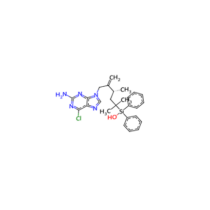 C=C(Cn1cnc2c(Cl)nc(N)nc21)[C@H](C)CC(C)(C)[Si](O)(c1ccccc1)c1ccccc1